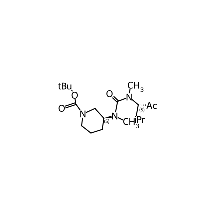 CC(=O)[C@H](C(C)C)N(C)C(=O)N(C)[C@H]1CCCN(C(=O)OC(C)(C)C)C1